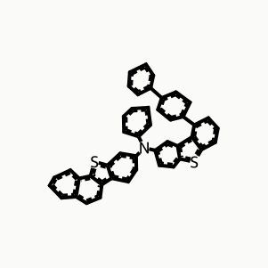 c1ccc(-c2ccc(-c3cccc4sc5ccc(N(c6ccccc6)c6ccc7c(c6)sc6c8ccccc8ccc76)cc5c34)cc2)cc1